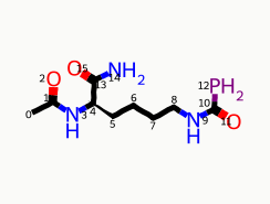 CC(=O)N[C@H](CCCCNC(=O)P)C(N)=O